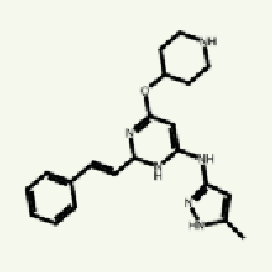 Cc1cc(NC2=CC(OC3CCNCC3)=NC(/C=C/c3ccccc3)N2)n[nH]1